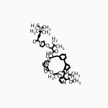 CCn1c(-c2cccnc2[C@H](C)OC)c2c3cc(ccc31)-c1cccc(c1)C[C@H](NC(=O)C(CO[C@@H]1CCN(C(=O)C#CC(C)(C)N(C)C)C1)C(C)C)C(=O)N1CCC[C@H](N1)C(=O)OCC(C)(C)C2